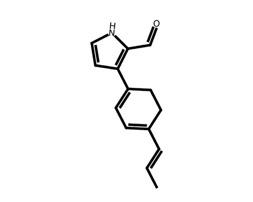 CC=CC1=CC=C(c2cc[nH]c2C=O)CC1